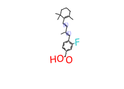 CC1=C(/C=C/C(C)=C/c2ccc(C(=O)O)cc2F)C(C)(C)CCC1